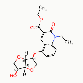 CCOC(=O)c1cc2c(O[C@H]3CO[C@H]4[C@@H]3OC[C@@H]4O)cccc2n(CC)c1=O